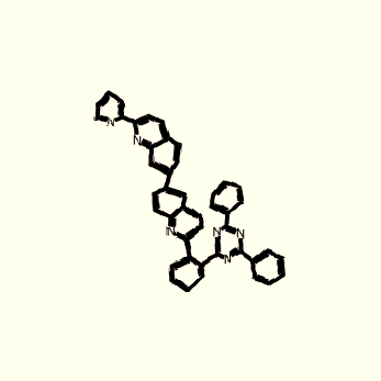 c1ccc(-c2nc(-c3ccccc3)nc(-c3ccccc3-c3ccc4cc(-c5ccc6ccc(-c7ccccn7)nc6c5)ccc4n3)n2)cc1